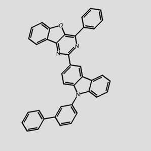 c1ccc(-c2cccc(-n3c4ccccc4c4cc(-c5nc(-c6ccccc6)c6oc7ccccc7c6n5)ccc43)c2)cc1